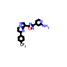 Nc1cc(-c2noc(-c3cnn4ccc(-c5ccc(C(F)(F)F)cc5)nc34)n2)ccn1